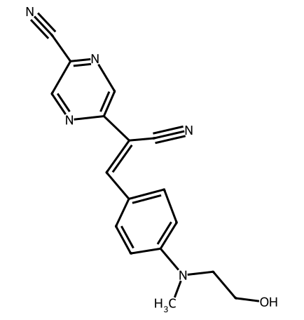 CN(CCO)c1ccc(/C=C(\C#N)c2cnc(C#N)cn2)cc1